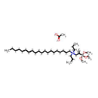 CC(=O)[O-].CCCCCCCCCCCCCCCCCCCC[N+](CCC)(CCC)CC(C)[Si](OC)(OC)OC